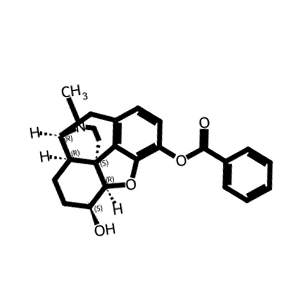 CN1CC[C@]23c4c5ccc(OC(=O)c6ccccc6)c4O[C@H]2[C@@H](O)CC[C@H]3[C@H]1C5